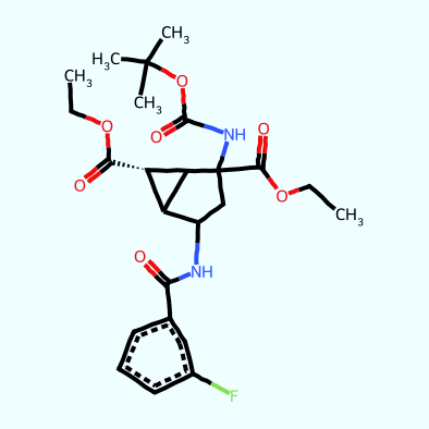 CCOC(=O)[C@H]1C2C(NC(=O)c3cccc(F)c3)CC(NC(=O)OC(C)(C)C)(C(=O)OCC)C21